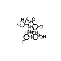 C[C@@H](Nc1ccc(F)cc1N1CCC(O)CC1)c1cc(Cl)cc2c(=O)n(C)c(C3CCOCC3)nc12